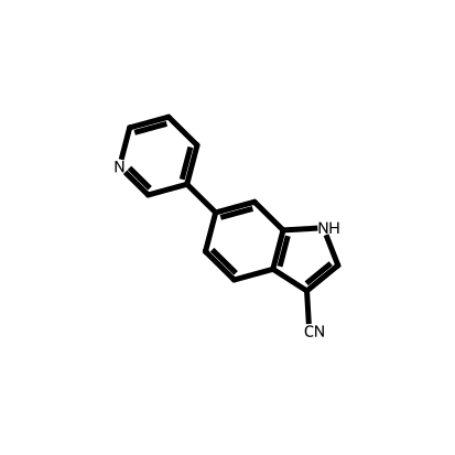 N#Cc1c[nH]c2cc(-c3cccnc3)ccc12